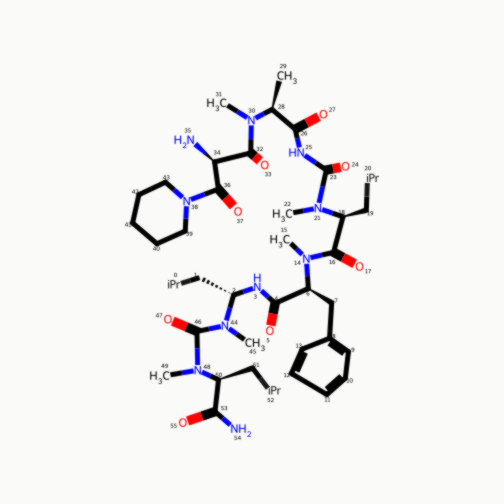 CC(C)C[C@H](NC(=O)[C@H](Cc1ccccc1)N(C)C(=O)[C@H](CC(C)C)N(C)C(=O)NC(=O)[C@H](C)N(C)C(=O)[C@H](N)C(=O)N1CCCCC1)N(C)C(=O)N(C)[C@@H](CC(C)C)C(N)=O